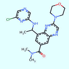 CC(Nc1cncc(Cl)n1)c1cc(C(=O)N(C)C)cc2ncc(N3CCOCC3)nc12